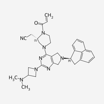 C=CC(=O)N1CCN(c2nc(N3CC(N(C)C)C3)nc3c2CN([C@@H]2Cc4cccc5cccc2c45)C3)C[C@@H]1CC#N